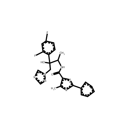 Cc1nc(-c2ccccc2)sc1C(=O)NC(C)C(O)(Cn1cncn1)c1ccc(F)cc1F